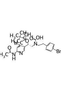 CC(=O)Nc1ccc([C@@H](CN(CCc2ccc(Br)cc2)C(=O)O)O[Si](C)(C)C(C)(C)C)cn1